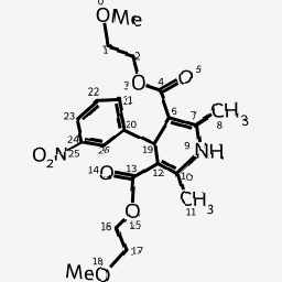 COCCOC(=O)C1=C(C)NC(C)=C(C(=O)OCCOC)C1c1cccc([N+](=O)[O-])c1